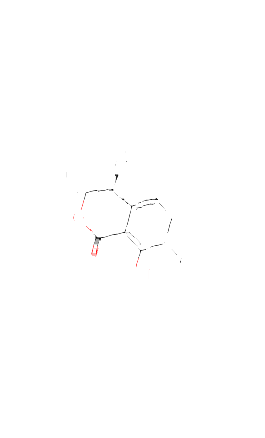 CC[C@H]1OC(=O)C2=C(O)C(C)CC=C2[C@@H]1C